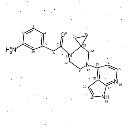 Nc1cccc(CC(=O)N2CCN(c3ccnc4[nH]ccc34)CC23CC3)c1